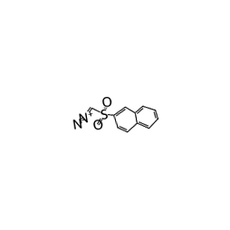 [N-]=[N+]=CS(=O)(=O)c1ccc2ccccc2c1